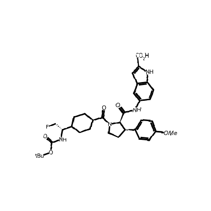 COc1ccc([C@H]2CCN(C(=O)C3CCC([C@@H](CF)NC(=O)OC(C)(C)C)CC3)[C@H]2C(=O)Nc2ccc3[nH]c(C(=O)O)cc3c2)cc1